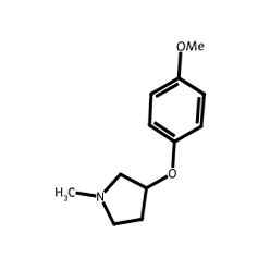 COc1ccc(OC2CCN(C)C2)cc1